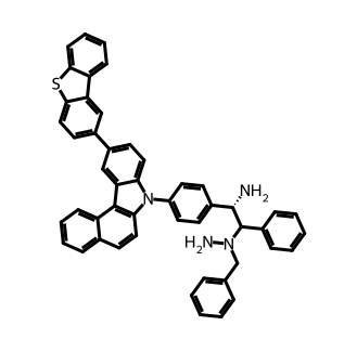 N[C@@H](c1ccc(-n2c3ccc(-c4ccc5sc6ccccc6c5c4)cc3c3c4ccccc4ccc32)cc1)C(c1ccccc1)N(N)Cc1ccccc1